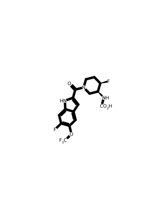 O=C(O)N[C@H]1CN(C(=O)c2cc3cc(OC(F)(F)F)c(F)cc3[nH]2)CC[C@H]1F